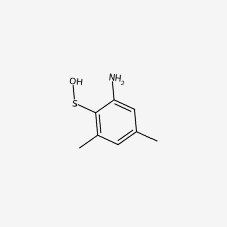 Cc1cc(C)c(SO)c(N)c1